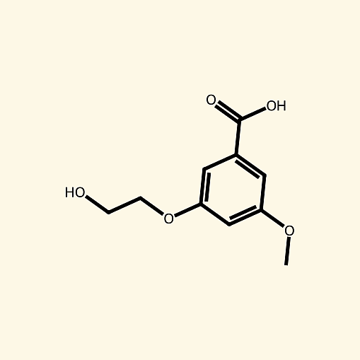 COc1cc(OCCO)cc(C(=O)O)c1